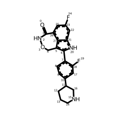 O=C1NOCc2c(-c3ccc(C4CCCNC4)cc3F)[nH]c3cc(F)cc1c23